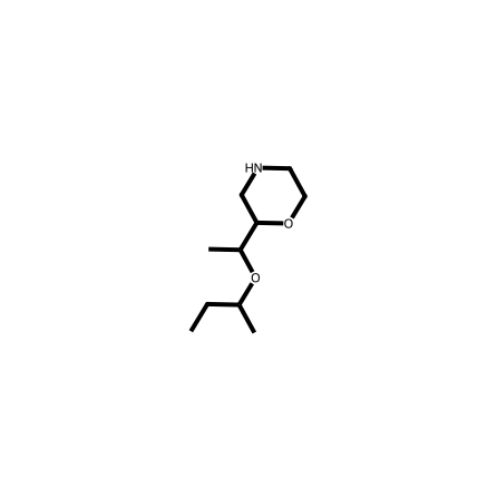 CCC(C)OC(C)C1CNCCO1